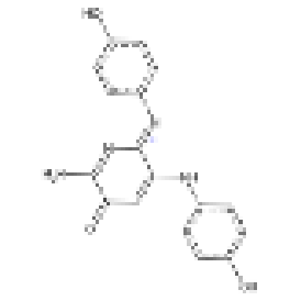 NC1=N/C(=N\c2ccc(O)cc2)C(Nc2ccc(O)cc2)=CC1=O